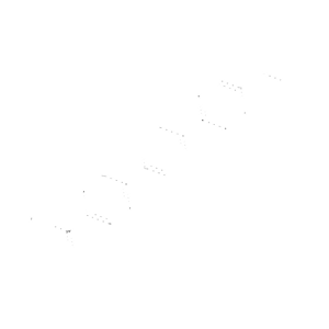 CCCC(C)Oc1ccc(-c2ccc(-c3ccc(C(=O)OC)cc3)cc2)cc1